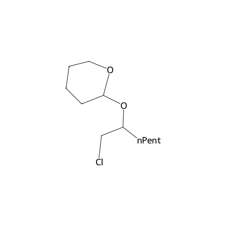 CCCCCC(CCl)OC1CCCCO1